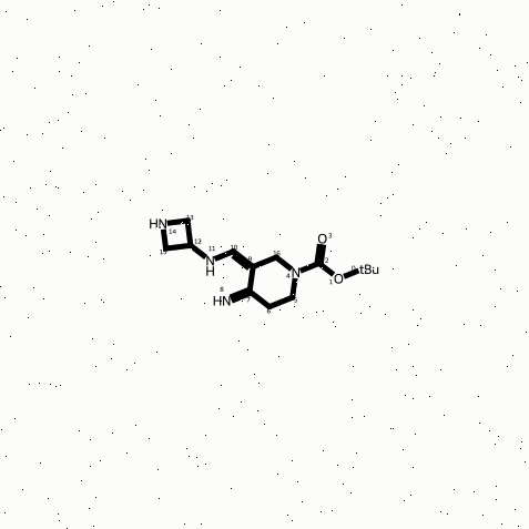 CC(C)(C)OC(=O)N1CCC(=N)/C(=C\NC2CNC2)C1